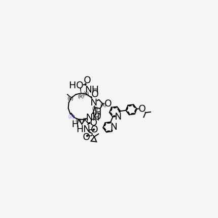 CC(C)Oc1ccc(-c2cc(O[C@@H]3C[C@H]4C(=O)N[C@]5(C(=O)NS(=O)(=O)C6(C)CC6)C[C@H]5/C=C\CC[C@@H](C)C[C@@H](C)[C@H](NC(=O)O)C(=O)N4C3)cc(-c3ccccn3)n2)cc1